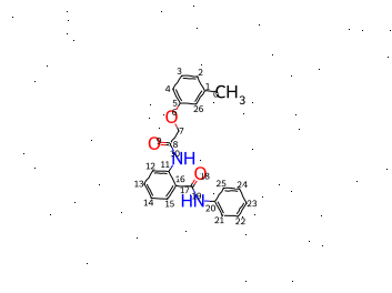 Cc1cccc(OCC(=O)Nc2ccccc2C(=O)Nc2ccccc2)c1